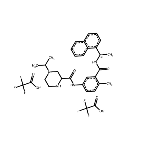 Cc1ccc(NC(=O)C2CN(C(C)C)CCN2)cc1C(=O)N[C@H](C)c1cccc2ccccc12.O=C(O)C(F)(F)F.O=C(O)C(F)(F)F